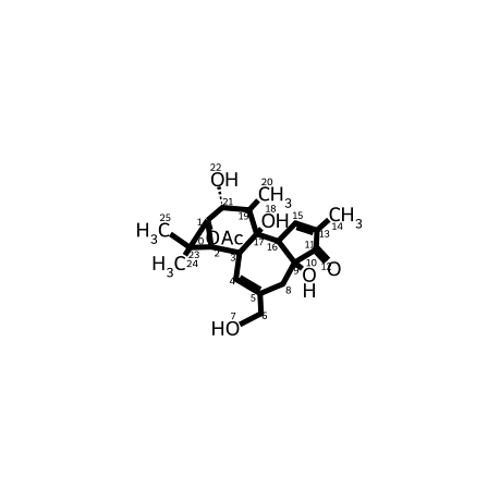 CC(=O)OC12C(C3C=C(CO)CC4(O)C(=O)C(C)=CC4C3(O)C(C)[C@H]1O)C2(C)C